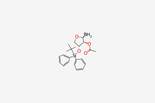 B[C@@H]1OC[C@@H](O[Si](c2ccccc2)(c2ccccc2)C(C)(C)C)[C@@H]1OC(C)=O